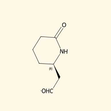 O=[C]C[C@H]1CCCC(=O)N1